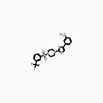 Cc1cccc(-c2csc(N3CCN(S(=O)(=O)c4cccc(C(F)(F)F)c4)CC3)n2)c1